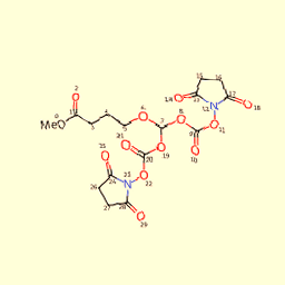 COC(=O)CCCOC(OC(=O)ON1C(=O)CCC1=O)OC(=O)ON1C(=O)CCC1=O